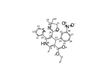 CCOC(=O)C1=C(C)NC(c2cccs2)=C(C2=NC(C)(C)CO2)C1c1cccc([N+](=O)[O-])c1